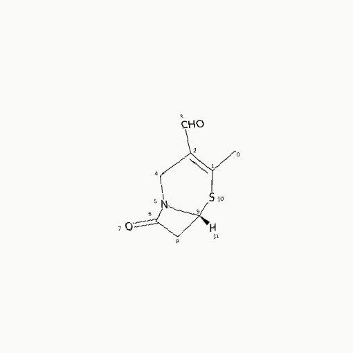 CC1=C(C=O)CN2C(=O)C[C@H]2S1